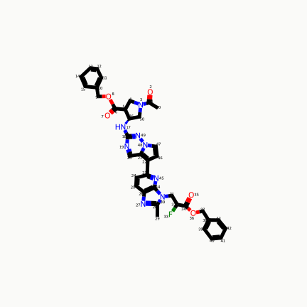 CC(=O)N1CC(C(=O)OCc2ccccc2)[C@H](Nc2ncc3c(-c4ccc5nc(C)n(CC(F)C(=O)OCc6ccccc6)c5n4)ccn3n2)C1